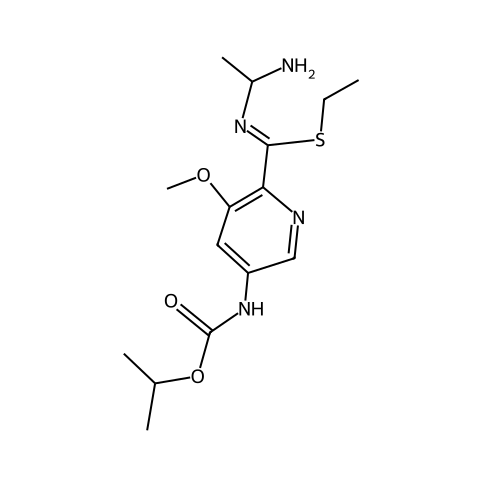 CCS/C(=N\C(C)N)c1ncc(NC(=O)OC(C)C)cc1OC